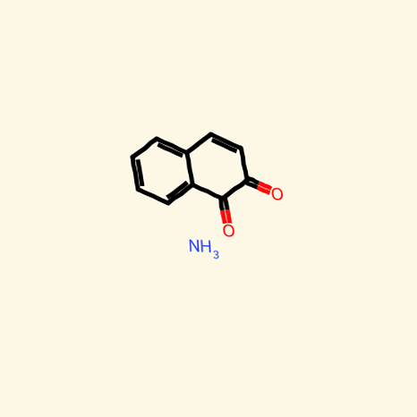 N.O=C1C=Cc2ccccc2C1=O